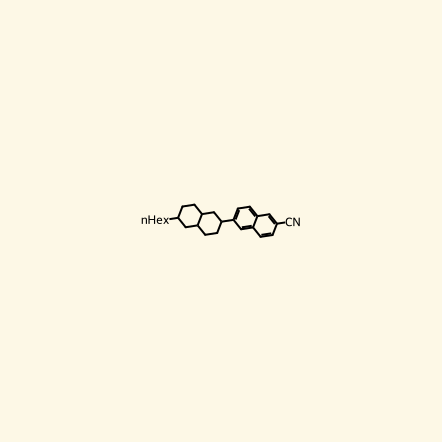 CCCCCCC1CCC2CC(c3ccc4cc(C#N)ccc4c3)CCC2C1